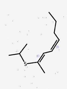 CCC/C=C\C=C(/C)SC(C)C